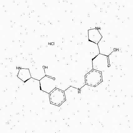 Cl.O=C(O)[C@@H](Cc1cccc(CNc2cccc(C[C@H](C(=O)O)[C@H]3CCNC3)c2)c1)[C@H]1CCNC1